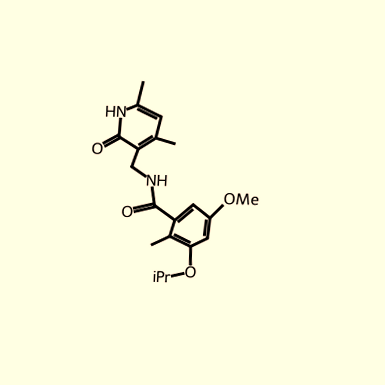 COc1cc(OC(C)C)c(C)c(C(=O)NCc2c(C)cc(C)[nH]c2=O)c1